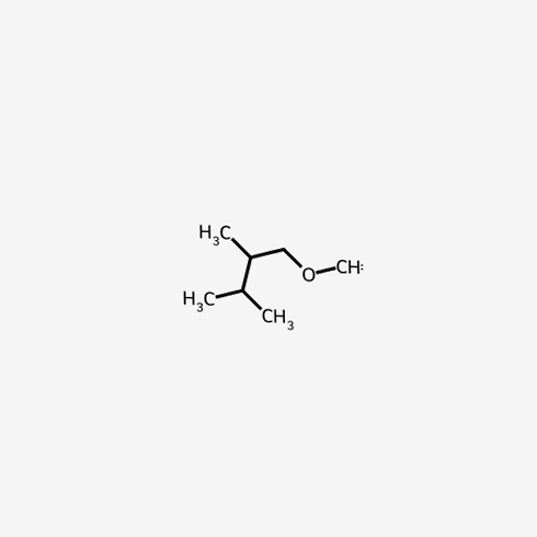 [CH]OCC(C)C(C)C